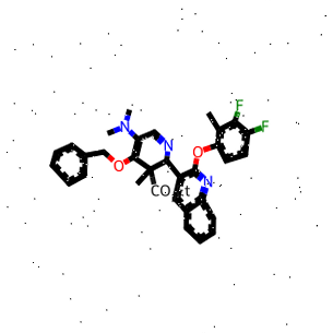 CCOC(=O)C1(C)C(OCc2ccccc2)=C(N(C)C)C=NC1c1cc2ccccc2nc1Oc1ccc(F)c(F)c1C